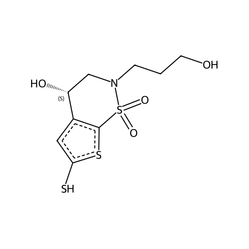 O=S1(=O)c2sc(S)cc2[C@H](O)CN1CCCO